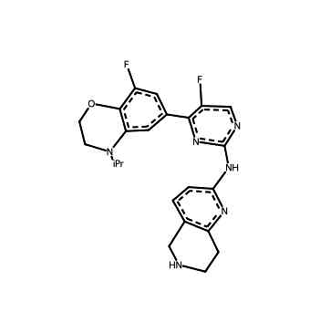 CC(C)N1CCOc2c(F)cc(-c3nc(Nc4ccc5c(n4)CCNC5)ncc3F)cc21